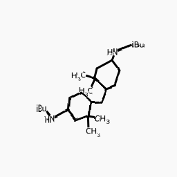 CCC(C)NC1CCC(CC2CCC(NC(C)CC)CC2(C)C)C(C)(C)C1